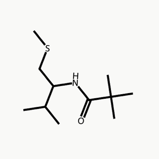 CSCC(NC(=O)C(C)(C)C)C(C)C